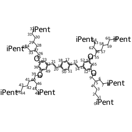 CCCC(C)CCCCC(CCC(C)CCC)COc1cc(/C=C/c2ccc(/C=C/c3cc(OCC(CCCCC(C)CCC)CCC(C)CCC)cc(OCC(CCCCC(C)CCC)CCC(C)CCC)c3)cc2)cc(OCC(CCCCC(C)CCC)CCC(C)CCC)c1